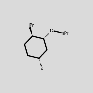 CCCO[C@@H]1C[C@H](C)CC[C@H]1C(C)C